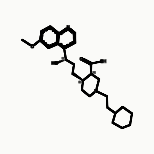 COc1ccc2nccc([C@@H](O)CC[C@@H]3CCN(CCC4CCCCC4)C[C@@H]3C(=O)O)c2c1